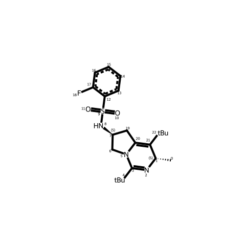 C[C@@H]1N=C(C(C)(C)C)N2C[C@@H](NS(=O)(=O)c3ccccc3F)CC2=C1C(C)(C)C